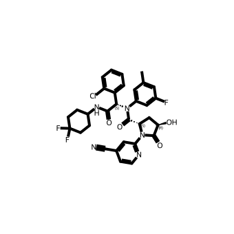 Cc1cc(F)cc(N(C(=O)[C@@H]2C[C@@H](O)C(=O)N2c2cc(C#N)ccn2)[C@H](C(=O)NC2CCC(F)(F)CC2)c2ccccc2Cl)c1